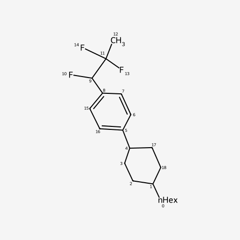 CCCCCCC1CCC(c2ccc(C(F)C(C)(F)F)cc2)CC1